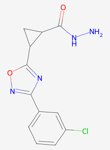 NNC(=O)C1CC1c1nc(-c2cccc(Cl)c2)no1